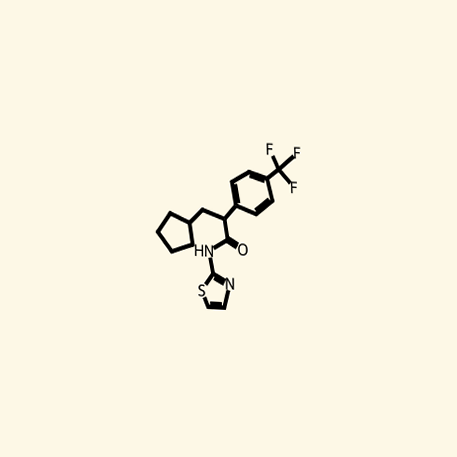 O=C(Nc1nccs1)C(CC1CCCC1)c1ccc(C(F)(F)F)cc1